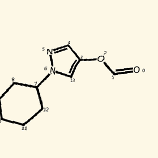 O=[C]Oc1cnn(C2CCCCC2)c1